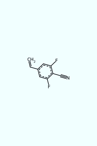 C=Cc1cc(F)c(C#N)c(F)c1